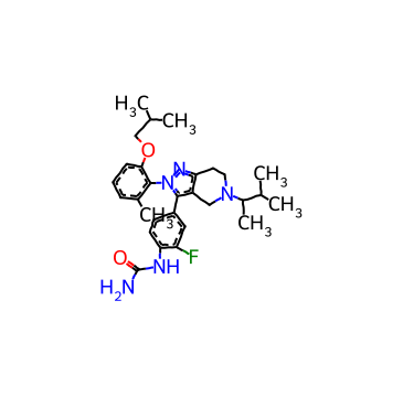 Cc1cccc(OCC(C)C)c1-n1nc2c(c1-c1ccc(NC(N)=O)c(F)c1)CN(C(C)C(C)C)CC2